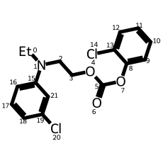 CCN(CCOC(=O)Oc1ccccc1Cl)c1cccc(Cl)c1